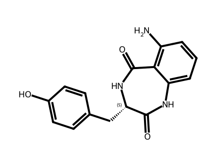 Nc1cccc2c1C(=O)N[C@@H](Cc1ccc(O)cc1)C(=O)N2